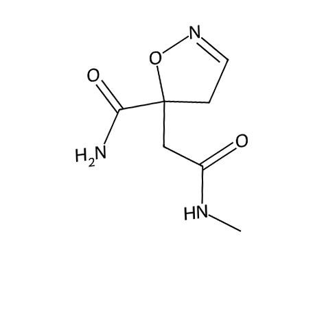 CNC(=O)CC1(C(N)=O)CC=NO1